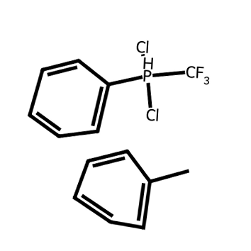 Cc1ccccc1.FC(F)(F)[PH](Cl)(Cl)c1ccccc1